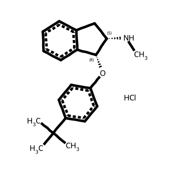 CN[C@H]1Cc2ccccc2[C@H]1Oc1ccc(C(C)(C)C)cc1.Cl